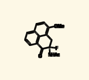 COc1ccc2cccc3c2c1CC(F)(NC(C)=O)C3=O